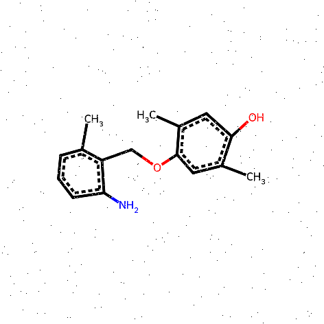 Cc1cc(OCc2c(C)cccc2N)c(C)cc1O